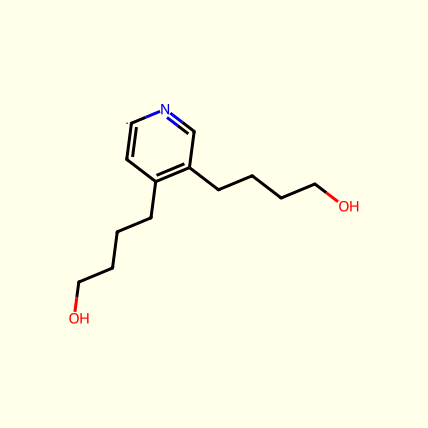 OCCCCc1c[c]ncc1CCCCO